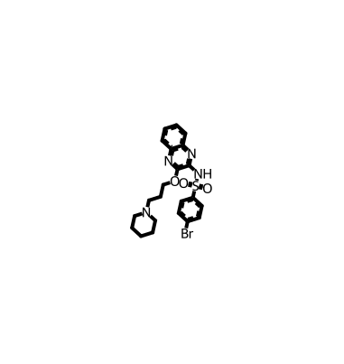 O=S(=O)(Nc1nc2ccccc2nc1OCCCN1CCCCC1)c1ccc(Br)cc1